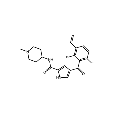 C=Cc1ccc(F)c(C(=O)c2c[nH]c(C(=O)NC3CCN(C)CC3)c2)c1F